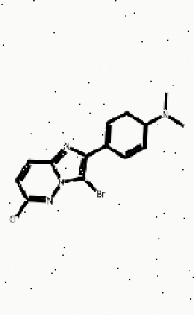 CN(C)C1C=CC(c2nc3ccc(Cl)nn3c2Br)=CC1